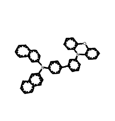 c1cc(-c2ccc(N(c3ccc4ccccc4c3)c3ccc4ccccc4c3)cc2)cc(N2c3ccccc3Oc3ccccc32)c1